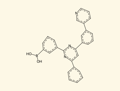 OB(O)c1cccc(-c2nc(-c3ccccc3)cc(-c3cccc(-c4cccnc4)c3)n2)c1